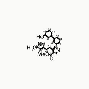 COC(=O)c1cnn(-c2cccc(-c3cccc(O)c3)c2)c1CCc1cn(C)nn1